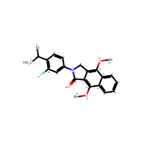 CCC(C(=O)O)c1ccc(N2Cc3c(c(OC(C)C)c4ccccc4c3OC(C)C)C2=O)cc1F